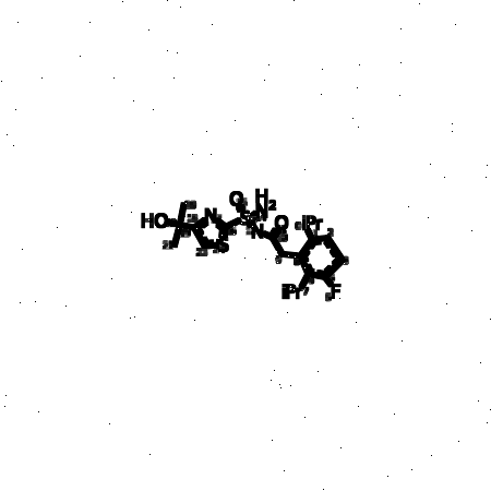 CC(C)c1ccc(F)c(C(C)C)c1CC(=O)N=[S@@](N)(=O)c1nc(C(C)(C)O)cs1